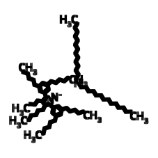 CCCCCCC1=C(c2cc(CCCCCC)cc(CCCCCC)c2)[N+](=[N-])C(c2cc(CCCCCC)cc(CCCCCC)c2)=C1CCCC.CCCCCCCCCCCCCC[CH2][Ni][CH2]CCCCCCCCCCCCCC